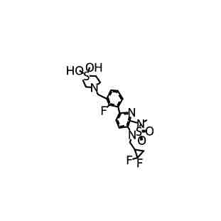 CN1c2nc(-c3cccc(CN4CCS(O)(O)CC4)c3F)ccc2N(CC2CC2(F)F)S1(=O)=O